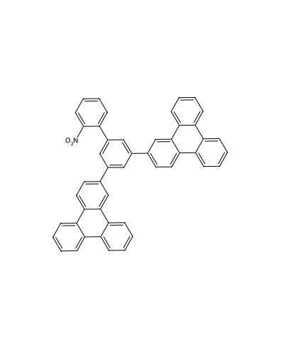 O=[N+]([O-])c1ccccc1-c1cc(-c2ccc3c4ccccc4c4ccccc4c3c2)cc(-c2ccc3c4ccccc4c4ccccc4c3c2)c1